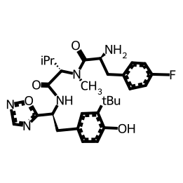 CC(C)[C@@H](C(=O)N[C@@H](Cc1ccc(O)c(C(C)(C)C)c1)c1ncno1)N(C)C(=O)[C@@H](N)Cc1ccc(F)cc1